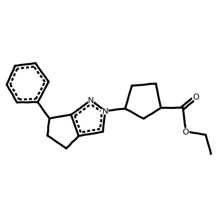 CCOC(=O)C1CCC(n2cc3c(n2)C(c2ccccc2)CC3)C1